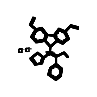 C=Cc1ccc2c(c1)-c1cc(C=C)ccc1[CH]2/[Zr+2]([C]1=CC=CC1)=[C](\CC)c1ccccc1.[Cl-].[Cl-]